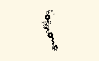 O=C(Nc1nc(COc2ccc(CCCCn3ccnn3)cc2)cs1)c1ccc(OC(F)(F)F)cc1